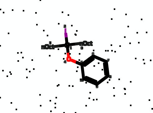 CCCCCCCC[Si](I)(CCCCCCCC)Oc1ccccc1